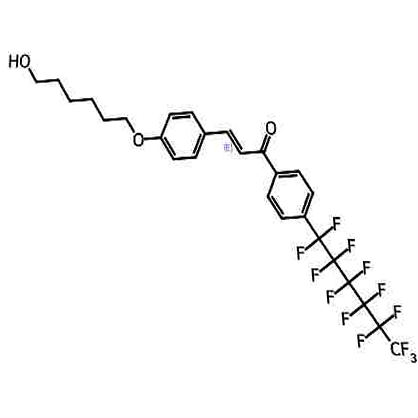 O=C(/C=C/c1ccc(OCCCCCCO)cc1)c1ccc(C(F)(F)C(F)(F)C(F)(F)C(F)(F)C(F)(F)C(F)(F)F)cc1